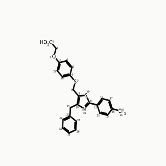 O=C(O)COc1ccc(SCc2sc(-c3ccc(C(F)(F)F)cc3)nc2Cc2ccccc2)cc1